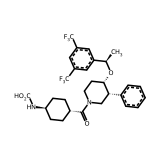 C[C@@H](O[C@H]1CCN(C(=O)[C@H]2CC[C@H](NC(=O)O)CC2)C[C@H]1c1ccccc1)c1cc(C(F)(F)F)cc(C(F)(F)F)c1